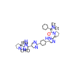 CCN(CC)[C@@H](C(=O)N1CCC[C@H]1c1ncc(-c2ccc(-c3ncc(-c4cnc([C@@]5(C(C)(C)C)CCCN5[C]=O)[nH]4)cn3)cc2)[nH]1)c1ccccc1